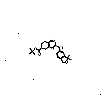 CC(C)(C)OC(=O)N1CCc2cnc(Nc3ccc4c(c3)C(C)(C)OC4)nc2C1